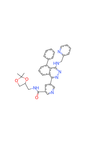 CC1(C)OCC(CNC(=O)c2cncc(-c3nnc(NCc4ccccn4)c4c(-c5ccccc5)cccc34)c2)O1